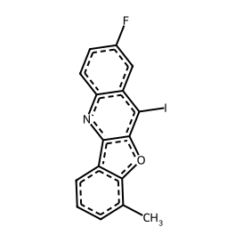 Cc1cccc2c1oc1c(I)c3cc(F)ccc3nc12